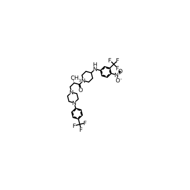 C[C@@H](CN1CCN(c2ccc(C(F)(F)F)cc2)CC1)C(=O)N1CCC(Nc2ccc([N+](=O)[O-])c(C(F)(F)F)c2)CC1